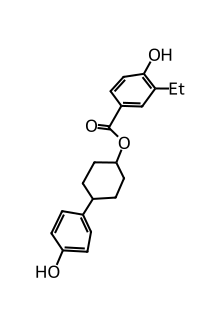 CCc1cc(C(=O)OC2CCC(c3ccc(O)cc3)CC2)ccc1O